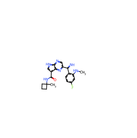 CNc1cc(F)ccc1C(=N)c1cnc2[nH]cc(C(=O)NC3(C)CCC3)c2n1